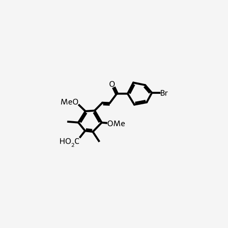 COc1c(C)c(C(=O)O)c(C)c(OC)c1C=CC(=O)c1ccc(Br)cc1